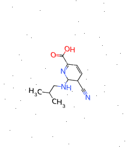 CC(C)CNC1N=C(C(=O)O)C=CC1C#N